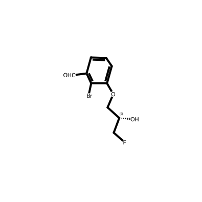 O=Cc1cccc(OC[C@H](O)CF)c1Br